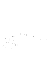 CNC(=O)c1ccc(N2CCN(Cc3cc(F)c4c(c3)[nH]c(=O)c3cccn34)CC2)c(C)n1